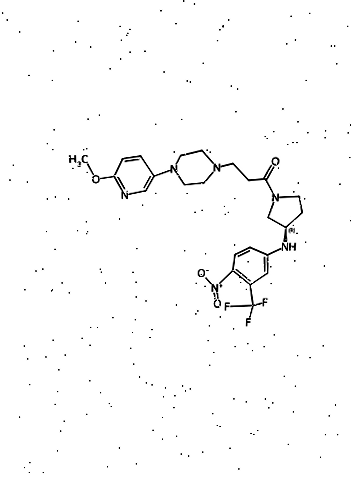 COc1ccc(N2CCN(CCC(=O)N3CC[C@@H](Nc4ccc([N+](=O)[O-])c(C(F)(F)F)c4)C3)CC2)cn1